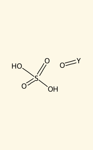 O=S(=O)(O)O.[O]=[Y]